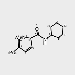 C=C(/C=C\C(NC)C(=O)NC1CCCCC1)C(C)C